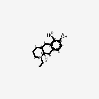 CCN1CCCC2Cc3c(ccc(O)c3O)C[C@@H]21